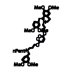 CCCCCN(CCCOC(=O)/C=C\C(=O)OCCCN1CCc2cc(OC)c(OC)cc2[C@H]1Cc1ccc(OC)c(OC)c1)Cc1ccc(OC)c(OC)c1